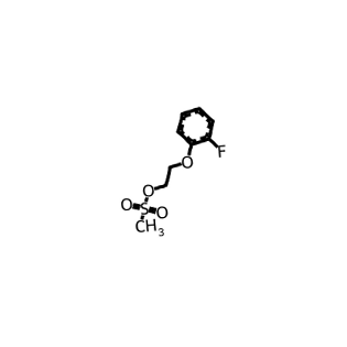 CS(=O)(=O)OCCOc1ccccc1F